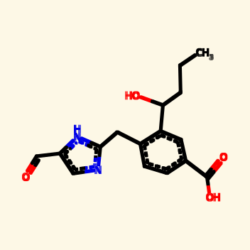 CCCC(O)c1cc(C(=O)O)ccc1Cc1ncc(C=O)[nH]1